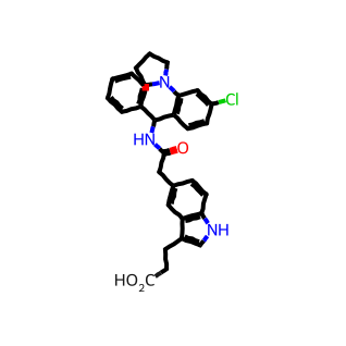 O=C(O)CCc1c[nH]c2ccc(CC(=O)NC(c3ccccc3)c3ccc(Cl)cc3N3CCCC3)cc12